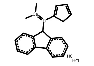 Cl.Cl.[CH3][Ge]([CH3])=[Ti]([C]1=CC=CC1)[CH]1c2ccccc2-c2ccccc21